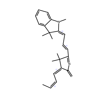 C=C1N=C(/C=C/C=C2/N(C)c3ccccc3C2(C)C)C(C)(C)/C1=C/C=C\C